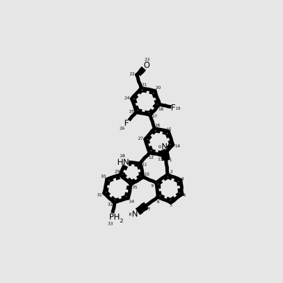 N#Cc1cccc(C#N)c1-c1c(-c2cccc(-c3c(F)cc(C=O)cc3F)c2)[nH]c2ccc(P)cc12